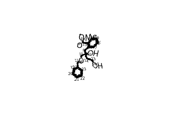 COC(=O)c1ccccc1CC(O)(CCO)COCc1ccccc1